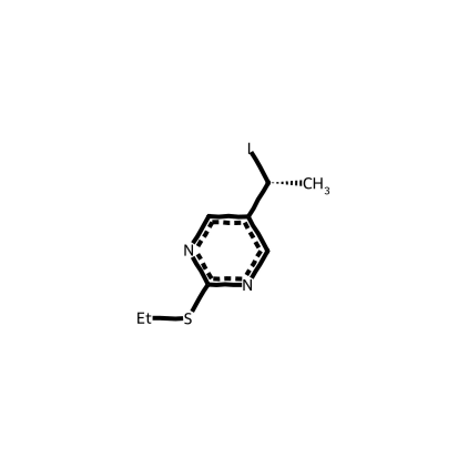 CCSc1ncc([C@@H](C)I)cn1